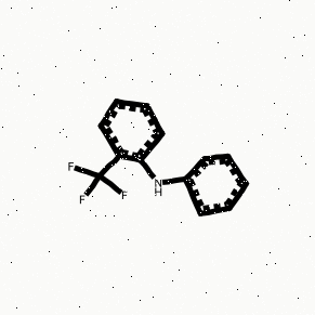 FC(F)(F)c1ccccc1Nc1ccccc1